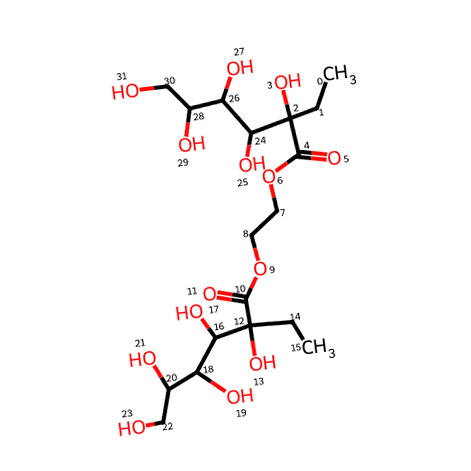 CCC(O)(C(=O)OCCOC(=O)C(O)(CC)C(O)C(O)C(O)CO)C(O)C(O)C(O)CO